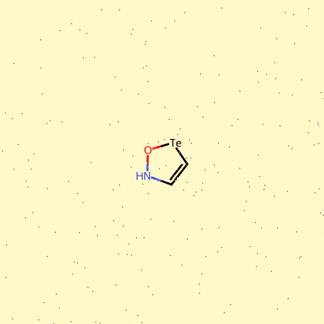 C1=C[Te]ON1